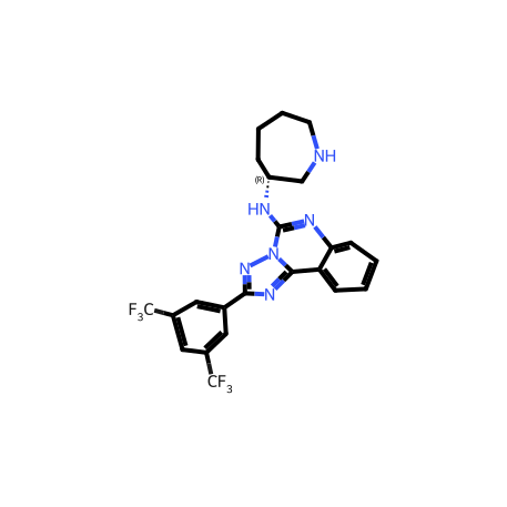 FC(F)(F)c1cc(-c2nc3c4ccccc4nc(N[C@@H]4CCCCNC4)n3n2)cc(C(F)(F)F)c1